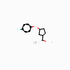 CC(O)C1CCC(Oc2ccc(F)cc2)C1